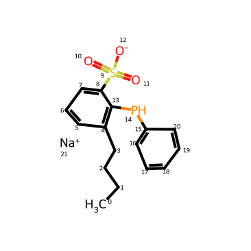 CCCCc1cccc(S(=O)(=O)[O-])c1Pc1ccccc1.[Na+]